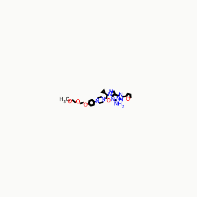 COCCOCCOc1ccc(N2CCN(C(=O)C(C3CC3)n3ncc4c3nc(N)n3nc(-c5ccco5)nc43)CC2)cc1